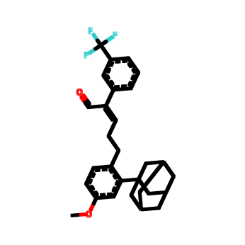 COc1ccc(CCC=C(C=O)c2cccc(C(F)(F)F)c2)c(C23CC4CC(CC(C4)C2)C3)c1